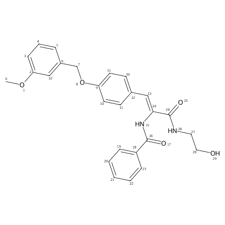 COc1cccc(COc2ccc(/C=C(\NC(=O)c3ccccc3)C(=O)NCCO)cc2)c1